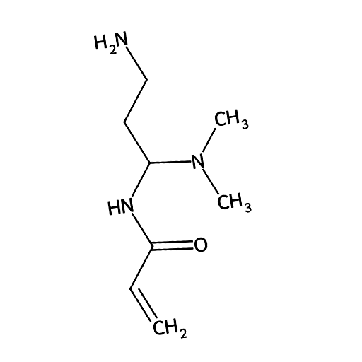 C=CC(=O)NC(CCN)N(C)C